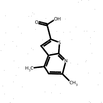 Cc1cc(C)c2cc(C(=O)O)sc2n1